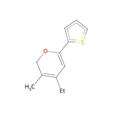 CCC1=C(C)COC(c2cccs2)=C1